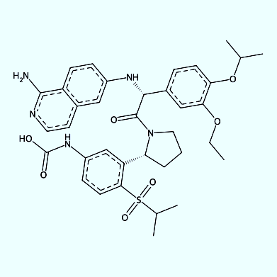 CCOc1cc([C@@H](Nc2ccc3c(N)nccc3c2)C(=O)N2CCC[C@@H]2c2cc(NC(=O)O)ccc2S(=O)(=O)C(C)C)ccc1OC(C)C